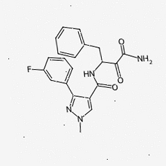 Cn1cc(C(=O)NC(Cc2ccccc2)C(=O)C(N)=O)c(-c2cccc(F)c2)n1